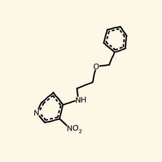 O=[N+]([O-])c1cnccc1NCCOCc1ccccc1